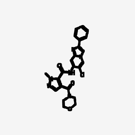 Cn1ncc(C(=O)N2CCOCC2)c1C(=O)Nc1cc2nc(-c3ccccc3)cn2cc1Cl